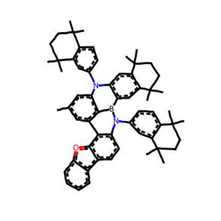 Cc1cc2c3c(c1)N(c1ccc4c(c1)C(C)(C)CCC4(C)C)c1cc4c(cc1B3N(c1ccc3c(c1)C(C)(C)CCC3(C)C)c1ccc3c(oc5ccccc53)c1-2)C(C)(C)CCC4(C)C